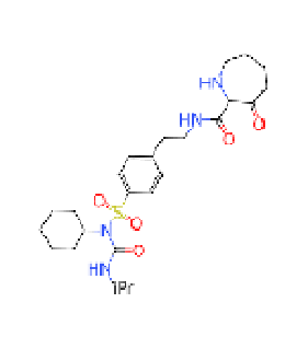 CC(C)NC(=O)N(C1CCCCC1)S(=O)(=O)c1ccc(CCNC(=O)C2NCCCCC2=O)cc1